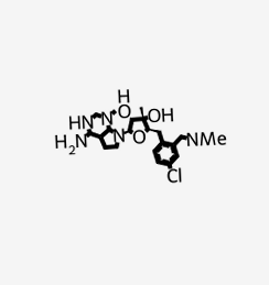 CNCc1cc(Cl)ccc1C[C@H]1O[C@@H](N2CCC3C(N)NCN(C)C32)[C@H](O)[C@]1(C)O